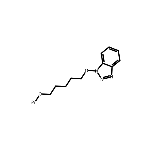 CC(C)OCCCCCOn1nnc2ccccc21